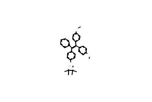 COc1ccc(C(=C(c2ccccc2)c2ccc(B3OC(C)(C)C(C)(C)O3)cc2)c2ccc(OC)cc2)cc1